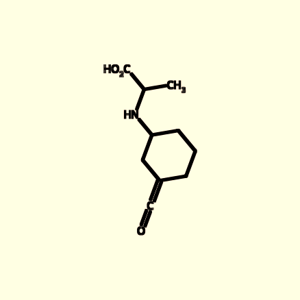 CC(NC1CCCC(=C=O)C1)C(=O)O